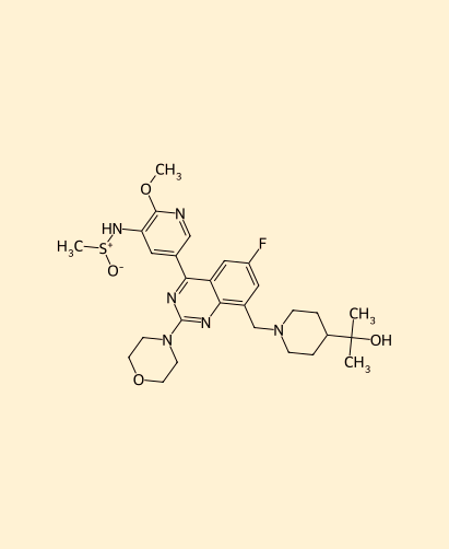 COc1ncc(-c2nc(N3CCOCC3)nc3c(CN4CCC(C(C)(C)O)CC4)cc(F)cc23)cc1N[S+](C)[O-]